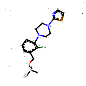 C[SiH](OCc1cccc(N2CCN(c3nccs3)CC2)c1F)C(C)(C)C